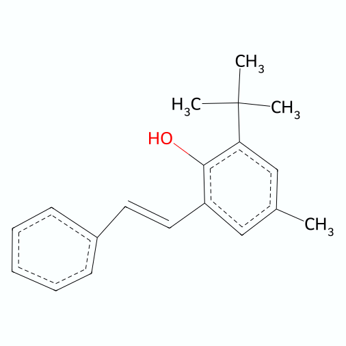 Cc1cc(C=Cc2ccccc2)c(O)c(C(C)(C)C)c1